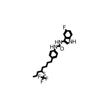 CCCC(CCCCc1ccc(NC(=O)Nc2c[nH]c3ccc(F)cc23)cc1)SC(F)(F)F